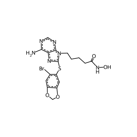 Nc1ncnc2c1nc(Sc1cc3c(cc1Br)OCO3)n2CCCCC(=O)NO